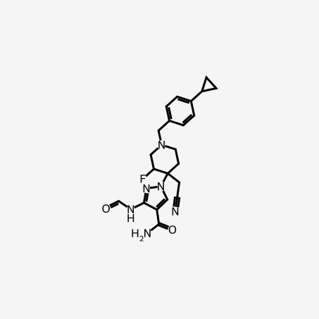 N#CCC1(n2cc(C(N)=O)c(NC=O)n2)CCN(Cc2ccc(C3CC3)cc2)CC1F